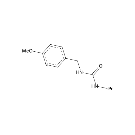 COc1ccc(CNC(=O)NC(C)C)cn1